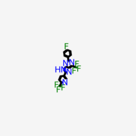 Fc1ccc(-c2nc(C(F)(F)F)c3nc(-c4ccc(C(F)(F)F)nc4)[nH]c3n2)cc1